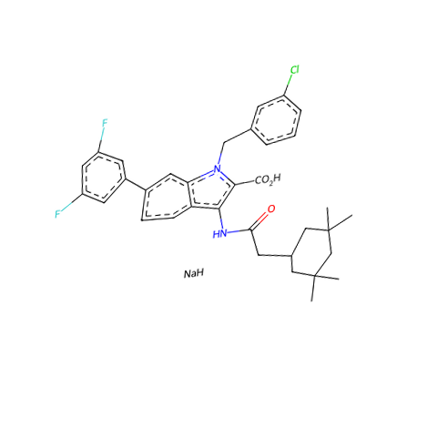 CC1(C)CC(CC(=O)Nc2c(C(=O)O)n(Cc3cccc(Cl)c3)c3cc(-c4cc(F)cc(F)c4)ccc23)CC(C)(C)C1.[NaH]